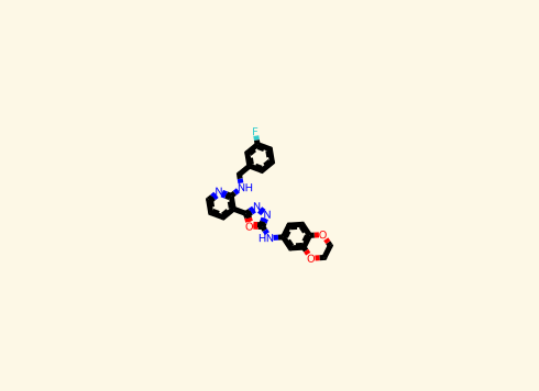 Fc1cccc(CNc2ncccc2-c2nnc(Nc3ccc4c(c3)OCCO4)o2)c1